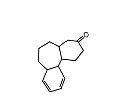 O=C1CCC2C(CCCC3C=CC=CC32)C1